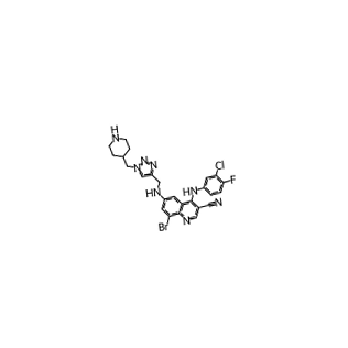 N#Cc1cnc2c(Br)cc(NCc3cn(CC4CCNCC4)nn3)cc2c1Nc1ccc(F)c(Cl)c1